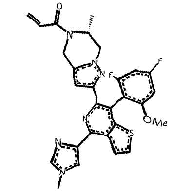 C=CC(=O)N1Cc2cc(-c3nc(-c4cn(C)cn4)c4ccsc4c3-c3c(F)cc(F)cc3OC)nn2C[C@H]1C